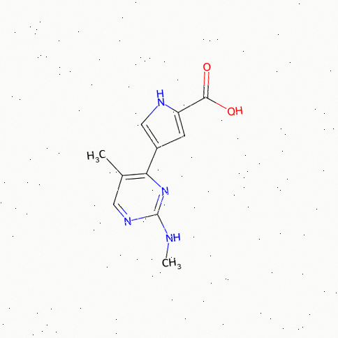 CNc1ncc(C)c(-c2c[nH]c(C(=O)O)c2)n1